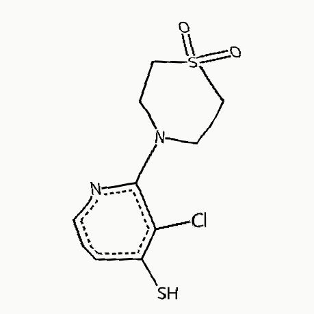 O=S1(=O)CCN(c2nccc(S)c2Cl)CC1